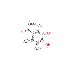 COC(=O)c1c(C(C)=O)c(O)c(O)c(OC(C)=O)c1C(C)=O